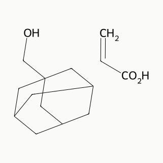 C=CC(=O)O.OCC12CC3CC(CC(C3)C1)C2